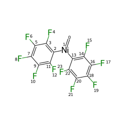 [CH2]=[Ni]([c]1c(F)c(F)c(F)c(F)c1F)[c]1c(F)c(F)c(F)c(F)c1F